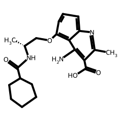 Cc1nc2cccc(OC[C@@H](C)NC(=O)C3CCCCC3)c2c(N)c1C(=O)O